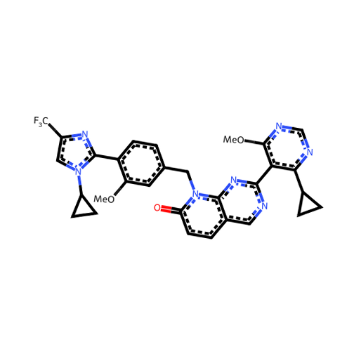 COc1cc(Cn2c(=O)ccc3cnc(-c4c(OC)ncnc4C4CC4)nc32)ccc1-c1nc(C(F)(F)F)cn1C1CC1